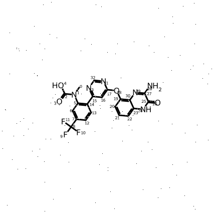 CN(C(=O)O)c1cc(C(F)(F)F)ccc1-c1cc(Oc2cccc3[nH]c(=O)c(N)nc23)ncn1